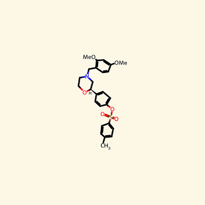 COc1ccc(CN2CCO[C@H](c3ccc(OS(=O)(=O)c4ccc(C)cc4)cc3)C2)c(OC)c1